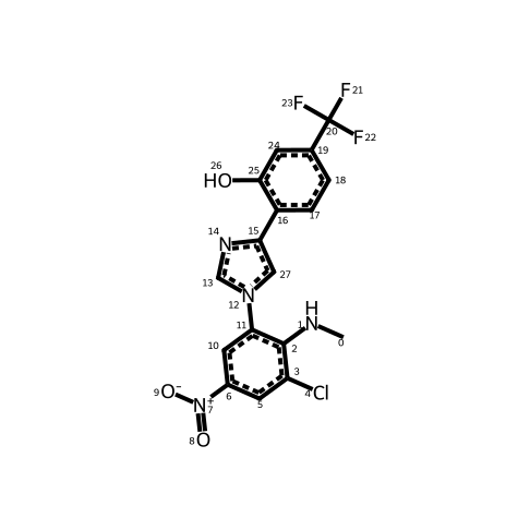 CNc1c(Cl)cc([N+](=O)[O-])cc1-n1cnc(-c2ccc(C(F)(F)F)cc2O)c1